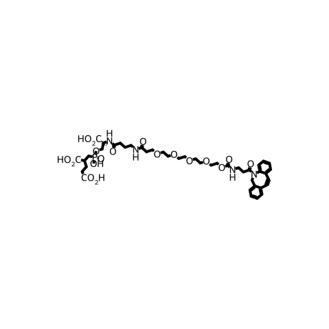 O=C(O)CCC(CP(=O)(O)OC[C@@H](NC(=O)CCCNC(=O)CCOCCOCCOCCOCCOC(=O)NCCC(=O)N1Cc2ccccc2C#Cc2ccccc21)C(=O)O)C(=O)O